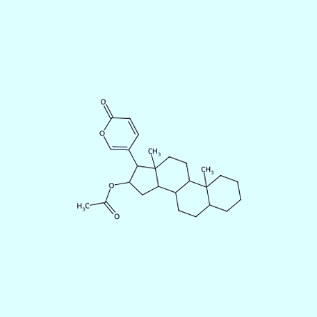 CC(=O)OC1CC2C3CCC4CCCCC4(C)C3CCC2(C)C1c1ccc(=O)oc1